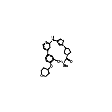 CC(C)(C)OC(=O)N1CCC(n2cc(Nc3nccc(-c4ccc(OC5CCOCC5)c(C#N)c4)n3)cn2)C1